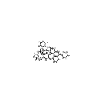 O=C(NC1CCCC1)NC(Cc1ccccc1)(c1cc(F)cc(C(F)(F)F)c1)c1ccc(N=C(c2ccccc2)c2ccccc2)cn1